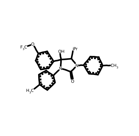 Cc1ccc(N2C(=O)N(c3ccc(C)cc3)C(O)(c3cccc(OC(F)(F)F)c3)C2C(C)C)cc1